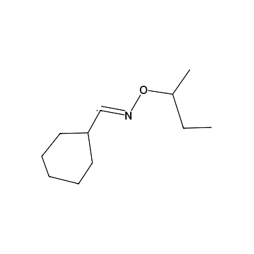 CCC(C)O/N=[C]/C1CCCCC1